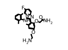 Cc1cccc(C)c1Nc1c(-c2c(C)cc(OCCN)cc2OCC(N)=O)nc2ccc(F)cn12